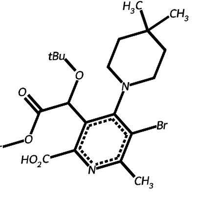 Cc1nc(C(=O)O)c(C(OC(C)(C)C)C(=O)OC(C)C)c(N2CCC(C)(C)CC2)c1Br